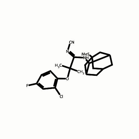 CSC12CC3CC(C1)C(N/C(=N\C#N)C(C)(C)Oc1ccc(F)cc1Cl)C(C3)C2